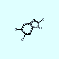 Clc1nc2cc(Cl)c(Cl)cc2[nH]1